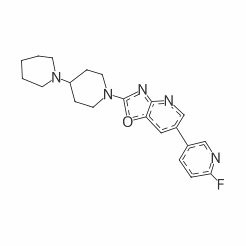 Fc1ccc(-c2cnc3nc(N4CCC(N5CCCCC5)CC4)oc3c2)cn1